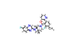 Cc1ccc(-c2ccccn2)c(C(=O)N2CC[C@H]3CN(c4cnc5cc(F)ccc5n4)[C@H]3C2)c1F